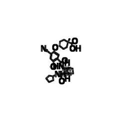 COc1cc(C#N)c(O[C@H]2CC[C@@](C)(C(=O)O)CC2)cc1C(=O)N[C@@H]1[C@H]2CC[C@H](C2)[C@@H]1C(=O)NC1CCCC1